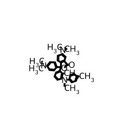 CCN(c1ccc(C)cc1)c1cccc(C2(c3ccc(N(C)C)cc3)OC(=O)c3cc(N(C)C)ccc32)c1C